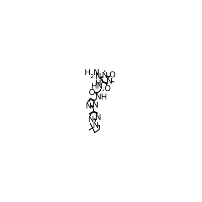 C[C@H](Nc1c(NN)n(C)c(=O)n(C)c1=O)C(=O)Nc1ccnc(-c2cnc(N3CCCC3(C)C)nc2)n1